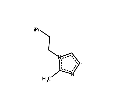 Cc1n[c]cn1CCC(C)C